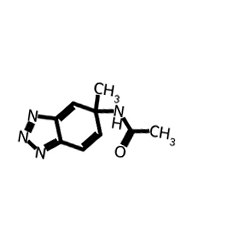 CC(=O)NC1(C)C=CC2=NN=NC2=C1